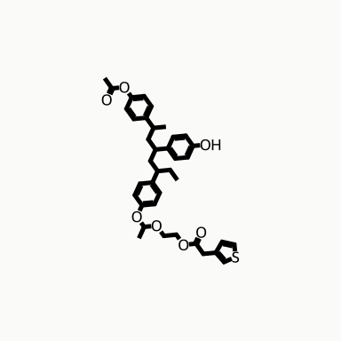 CCC(CC(CC(C)c1ccc(OC(C)=O)cc1)c1ccc(O)cc1)c1ccc(OC(C)OCCOC(=O)Cc2ccsc2)cc1